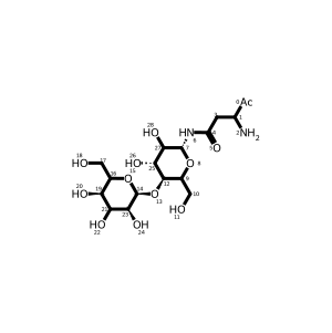 CC(=O)C(N)CC(=O)N[C@@H]1OC(CO)[C@@H](O[C@@H]2OC(CO)[C@H](O)C(O)[C@@H]2O)[C@H](O)C1O